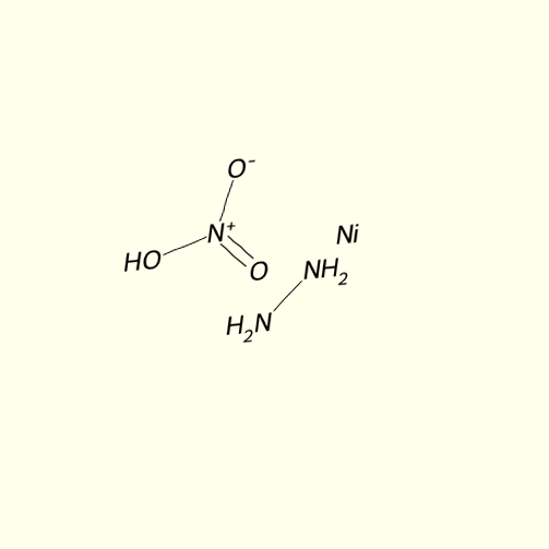 NN.O=[N+]([O-])O.[Ni]